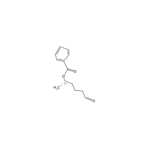 C[C@@H](CCCC=O)OC(=O)c1ccccc1